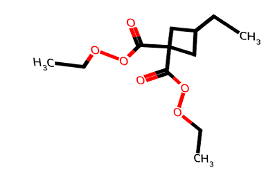 CCOOC(=O)C1(C(=O)OOCC)CC(CC)C1